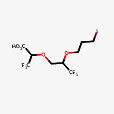 O=C(O)C(OCC(OCCCI)C(F)(F)F)C(F)(F)F